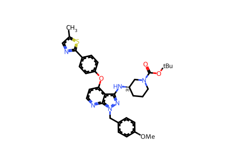 COc1ccc(Cn2nc(N[C@@H]3CCCN(C(=O)OC(C)(C)C)C3)c3c(Oc4ccc(-c5ncc(C)s5)cc4)ccnc32)cc1